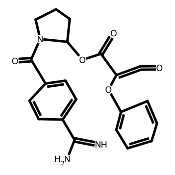 N=C(N)c1ccc(C(=O)N2CCCC2OC(=O)C(=C=O)Oc2ccccc2)cc1